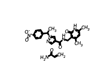 C=CC(N)=O.Cc1cc(C)c(CNC(=O)c2cnn(C(C)c3ccc([N+](=O)[O-])cc3)c2)c(=O)[nH]1